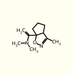 C=C(N(C)C)C12CCCC1C(C)=NO2